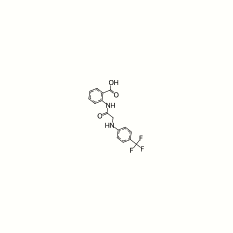 O=C(CNc1ccc(C(F)(F)F)cc1)Nc1ccccc1C(=O)O